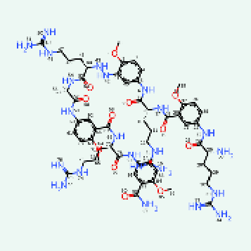 COc1ccc(NC(=O)[C@@H](CCCNC(=N)N)NC(=O)c2cc(NC(=O)[C@H](N)CCCNC(=N)N)ccc2OC)cc1NN[C@H](CCCNC(=N)N)C(=O)N[C@@H](C)C(=O)Nc1ccc(OC)c(C(=O)N[C@H](CCCNC(=N)N)C(=O)Nc2ccc(OC)c(C(N)=O)c2)c1